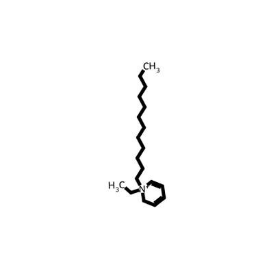 CCCCCCCCCCCC[N+]1(CC)C=CC=CC1